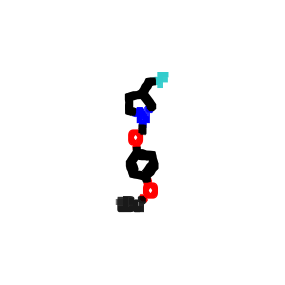 CC(C)(C)Oc1ccc(OCN2CCC(CF)C2)cc1